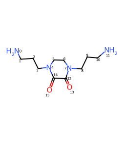 NCCCN1CCN(CCCN)C(=O)C1=O